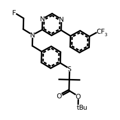 CC(C)(C)OC(=O)C(C)(C)Sc1ccc(CN(CCF)c2cc(-c3cccc(C(F)(F)F)c3)ncn2)cc1